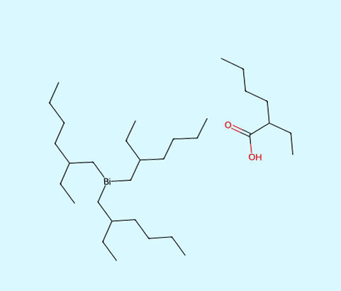 CCCCC(CC)C(=O)O.CCCCC(CC)[CH2][Bi]([CH2]C(CC)CCCC)[CH2]C(CC)CCCC